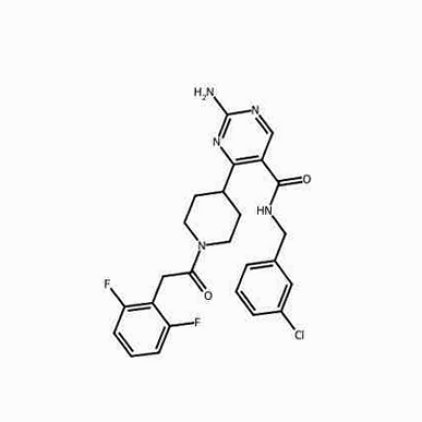 Nc1ncc(C(=O)NCc2cccc(Cl)c2)c(C2CCN(C(=O)Cc3c(F)cccc3F)CC2)n1